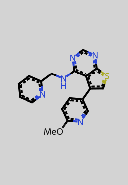 COc1ccc(-c2csc3ncnc(NCc4ccccn4)c23)cn1